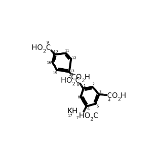 O=C(O)c1cc(C(=O)O)cc(C(=O)O)c1.O=C(O)c1ccc(C(=O)O)cc1.[KH]